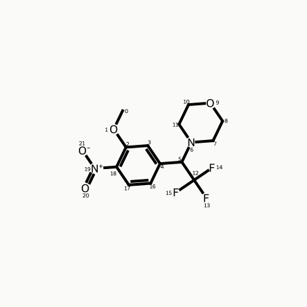 COc1cc(C(N2CCOCC2)C(F)(F)F)ccc1[N+](=O)[O-]